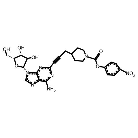 Nc1nc(C#CCC2CCN(C(=O)Oc3ccc([N+](=O)[O-])cc3)CC2)nc2c1ncn2[C@@H]1O[C@H](CO)[C@H](O)C1O